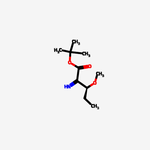 CC[C@H](OC)C(=N)C(=O)OC(C)(C)C